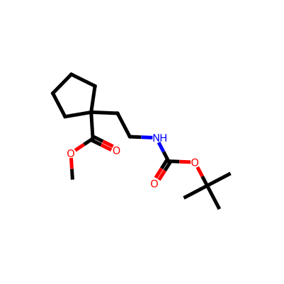 COC(=O)C1(CCNC(=O)OC(C)(C)C)CCCC1